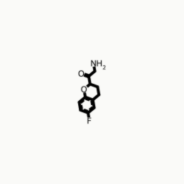 NCC(=O)C1CCc2cc(F)ccc2O1